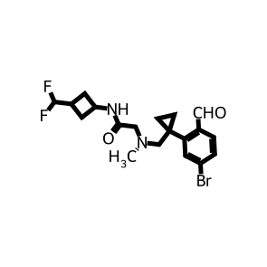 CN(CC(=O)NC1CC(C(F)F)C1)CC1(c2cc(Br)ccc2C=O)CC1